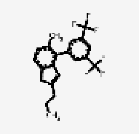 CCCC1=Cc2c(ccc(C)c2-c2cc(C(F)(F)F)cc(C(F)(F)F)c2)[CH]1